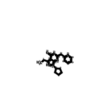 CCc1[nH]n(C2CCCC2)c2nc(Cc3ccccn3)nc(=O)c1-2